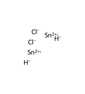 [Cl-].[Cl-].[H-].[H-].[Sn+2].[Sn+2]